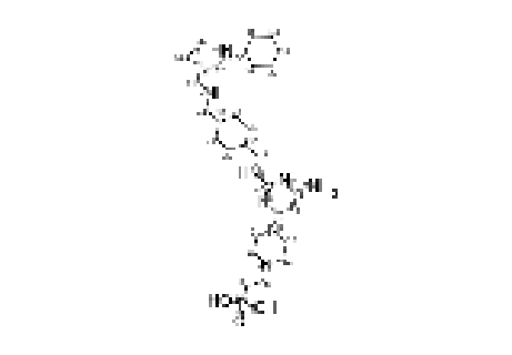 Nc1cc(N2CCN(CCP(=O)(O)O)CC2)nc(NCC2CCC(CNCC3(CNC4CCCCC4)CC3)CC2)n1